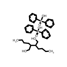 CCCCC(CO)C(CO)CCCC.O=P(O)(c1ccccc1)c1ccccc1.O=P(O)(c1ccccc1)c1ccccc1